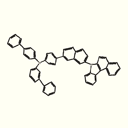 c1ccc(-c2ccc(N(c3ccc(-c4ccc5ccc(-n6c7ccccc7c7c8ccccc8ccc76)cc5c4)cc3)c3cccc(-c4ccccc4)c3)cc2)cc1